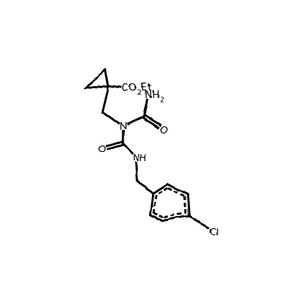 CCOC(=O)C1(CN(C(N)=O)C(=O)NCc2ccc(Cl)cc2)CC1